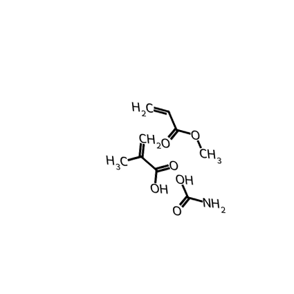 C=C(C)C(=O)O.C=CC(=O)OC.NC(=O)O